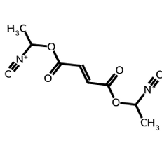 [C-]#[N+]C(C)OC(=O)C=CC(=O)OC(C)[N+]#[C-]